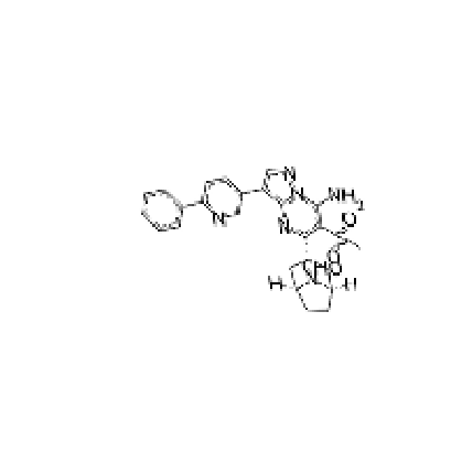 CS(=O)(=O)c1c([C@@H]2C[C@H]3CC[C@@H](C2)N3C=O)nc2c(-c3ccc(-c4ccccc4)nc3)cnn2c1N